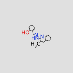 Cc1cc2ccccc2nc1NN=Cc1ccccc1O